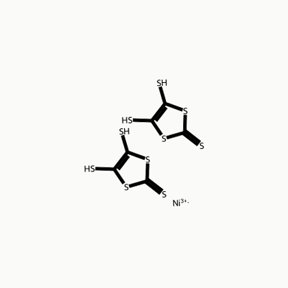 S=c1sc(S)c(S)s1.S=c1sc(S)c(S)s1.[Ni+3]